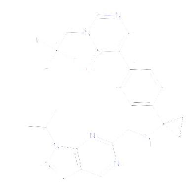 CC(C)n1ncc2cnc(CNC3(c4ccc(-c5cncn([C@@H](C)C(F)(F)F)c5=O)cc4)CC3)nc21